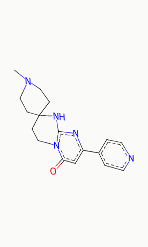 CN1CCC2(CC1)CCn1c(nc(-c3ccncc3)cc1=O)N2